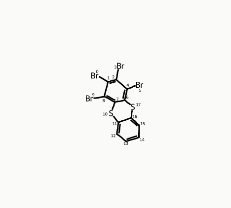 Brc1c(Br)c(Br)c2c(c1Br)Sc1ccccc1S2